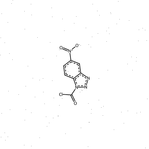 O=C(Cl)n1nnc2cc([N+](=O)[O-])ccc21